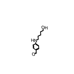 O=Cc1ccc(NCCCCCO)cc1